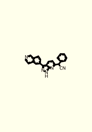 N#CC(c1ccccc1)c1ccc2c(-c3ccc4cnccc4c3)n[nH]c2n1